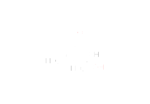 Cc1cc(C=O)cc(C(C)(C)O)c1